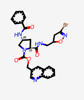 O=C(N[C@@H]1C[C@@H](C(=O)NCC2CC(Br)=NO2)N(C(=O)OCc2cnc3ccccc3c2)C1)c1ccccc1